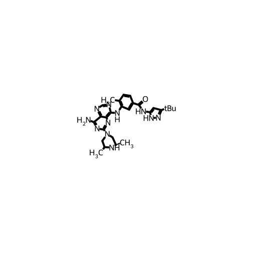 Cc1ccc(C(=O)Nc2cc(C(C)(C)C)n[nH]2)cc1Nc1ncnc2c(N)nc(N3CC(C)N[C@H](C)C3)nc12